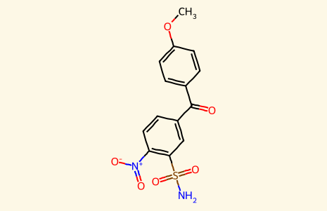 COc1ccc(C(=O)c2ccc([N+](=O)[O-])c(S(N)(=O)=O)c2)cc1